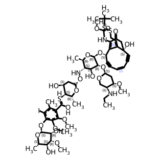 CCN[C@H]1CO[C@@H](O[C@H]2[C@H](O[C@H]3C#C/C=C\C#C[C@]4(O)CC(=O)C(NC(=O)OC)=C3/C4=C\CSSC(C)(C)C)O[C@H](C)[C@@H](NO[C@H]3C[C@H](O)[C@H]([SH]=C(O)c4c(C)c(I)c(O[C@@H]5O[C@@H](C)[C@H](O)[C@@H](OC)[C@H]5O)c(OC)c4OC)[C@@H](C)O3)[C@@H]2O)C[C@@H]1OC